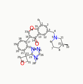 Cc1cc(CN2CCC[C@H](C)C2)cc2c(=O)c(-c3cccc(C4(c5nncn5C)COC4)c3)coc12